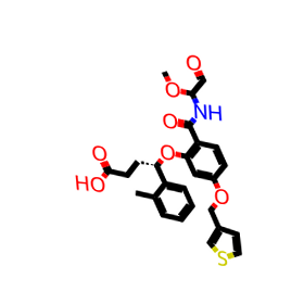 COC(C=O)NC(=O)c1ccc(OCc2ccsc2)cc1O[C@@H](CCC(=O)O)c1ccccc1C